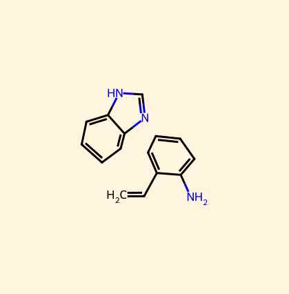 C=Cc1ccccc1N.c1ccc2[nH]cnc2c1